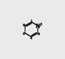 C1=C[N]C=CC1